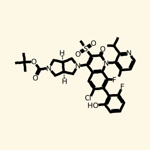 Cc1ccnc(C(C)C)c1-n1c(=O)c(S(C)(=O)=O)c(N2C[C@H]3CN(C(=O)OC(C)(C)C)C[C@H]3C2)c2cc(Cl)c(-c3c(O)cccc3F)c(F)c21